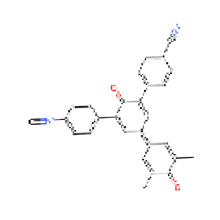 [C-]#[N+]c1ccc(C2=CC(=C3C=C(C)C(=O)C(C)=C3)C=C(c3ccc(C#N)cc3)C2=O)cc1